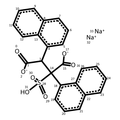 O=C([O-])C(c1cccc2ccccc12)C(C(=O)[O-])(c1cccc2ccccc12)S(=O)(=O)O.[Na+].[Na+]